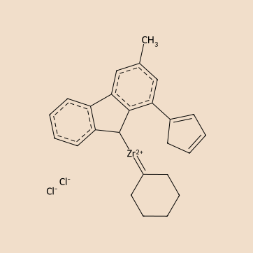 Cc1cc(C2=CC=CC2)c2c(c1)-c1ccccc1[CH]2[Zr+2]=[C]1CCCCC1.[Cl-].[Cl-]